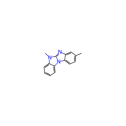 Cc1ccc2c(c1)nc1n(C)c3ccccc3n21